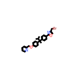 CC(C)C(C)(c1ccc(OCc2ccccn2)cc1)c1ccc(-c2nc(CBr)co2)cc1